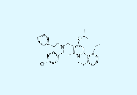 CCc1cccc(CC)c1-c1cc(OC(C)C)c(CN(CCc2ccccc2)Cc2ccc(Cl)cc2)c(C)n1